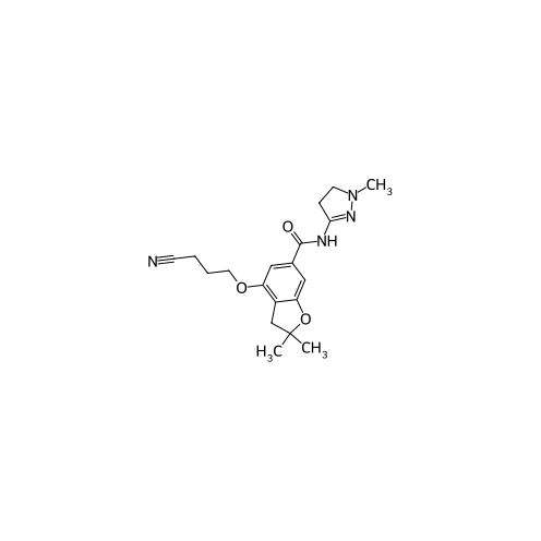 CN1CCC(NC(=O)c2cc(OCCCC#N)c3c(c2)OC(C)(C)C3)=N1